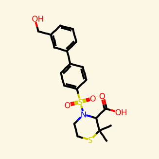 CC1(C)SCCN(S(=O)(=O)c2ccc(-c3cccc(CO)c3)cc2)C1C(=O)O